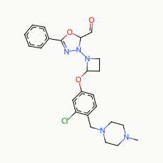 CN1CCN(Cc2ccc(OC3CCN3N3N=C(c4ccccc4)OC3C=O)cc2Cl)CC1